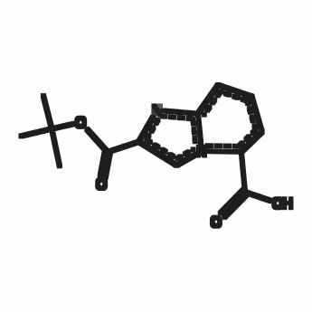 CC(C)(C)OC(=O)c1cn2c(C(=O)O)cccc2n1